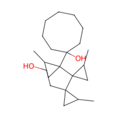 CC1CC1(CCO)C1(C2(C3(O)CCCCCCC3)CC2C)CC1C